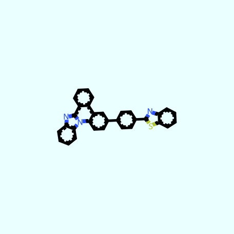 c1ccc2sc(-c3ccc(-c4ccc5c(c4)c4ccccc4c4nc6ccccc6n54)cc3)nc2c1